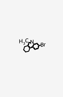 Cc1nc2cc(Br)ccc2c2c1CCCC2